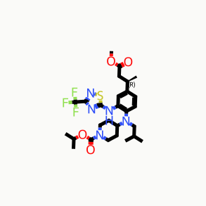 COC(=O)C[C@@H](C)c1ccc(N(CC(C)C)C2CCN(C(=O)OC(C)C)CC2)c(Nc2nc(C(F)(F)F)ns2)c1